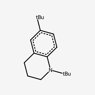 CC(C)(C)c1ccc2c(c1)CCCN2C(C)(C)C